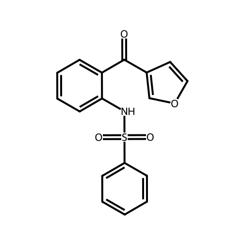 O=C(c1ccoc1)c1ccccc1NS(=O)(=O)c1ccccc1